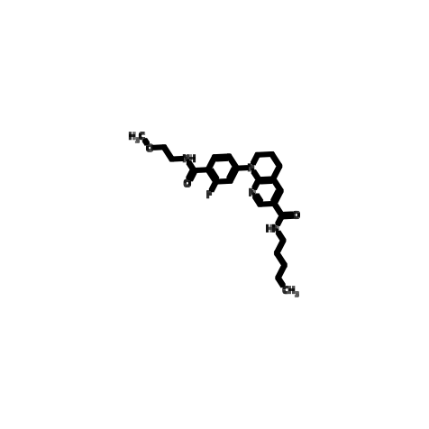 CCCCCNC(=O)c1cnc2c(c1)CCCN2c1ccc(C(=O)NCCOC)c(F)c1